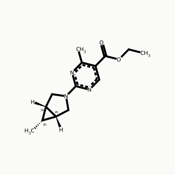 CCOC(=O)c1cnc(N2C[C@@H]3[C@H](C)[C@@H]3C2)nc1C